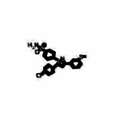 CSc1cccc(-c2cc(-c3ccc(Cl)cc3)n(-c3ccc(S(N)(=O)=O)cc3)n2)c1